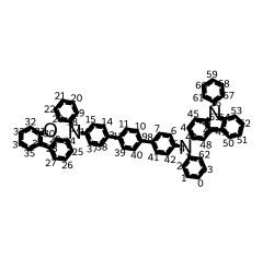 c1ccc(N(c2ccc(-c3ccc(-c4ccc(N(c5ccccc5)c5cccc6c5oc5ccccc56)cc4)cc3)cc2)c2ccc3c(c2)c2ccccc2n3-c2ccccc2)cc1